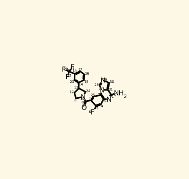 Nc1nc2cc(F)c(C(=O)N3CCC(c4cccc(C(F)(F)F)c4)C3)cc2n2cncc12